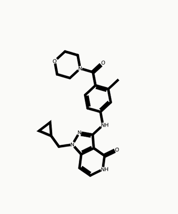 Cc1cc(Nc2nn(CC3CC3)c3cc[nH]c(=O)c23)ccc1C(=O)N1CCOCC1